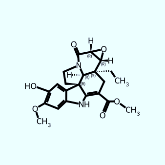 CC[C@@]12CC(C(=O)OC)=C3Nc4cc(OC)c(O)cc4[C@@]34CCN(C(=O)[C@@H]3O[C@@H]31)[C@@H]24